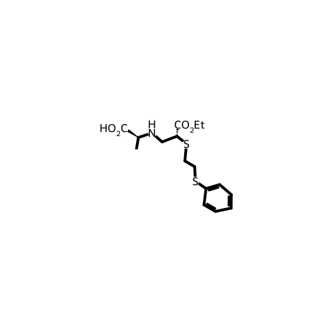 CCOC(=O)[C@@H](CN[C@@H](C)C(=O)O)SCCSc1ccccc1